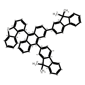 CC1(C)c2ccccc2-c2ccc(-c3ccc4c(-c5cccc6oc7ccccc7c56)c5ccccc5c(-c5ccc6c(c5)C(C)(C)c5ccccc5-6)c4c3)cc21